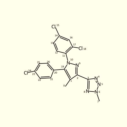 Cc1c(-c2nnn(C)n2)nn(-c2ccc(Cl)cc2Cl)c1-c1ccc(Cl)cc1